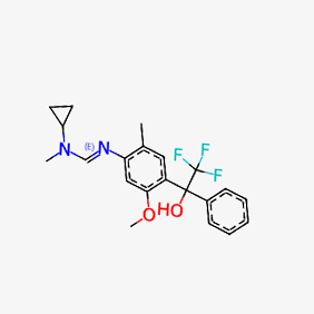 COc1cc(/N=C/N(C)C2CC2)c(C)cc1C(O)(c1ccccc1)C(F)(F)F